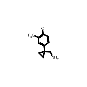 NCC1(c2ccc(Cl)c(C(F)(F)F)c2)CC1